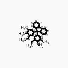 CCc1cc(C2(c3cc(C)c(N)c(CC)c3)c3ccccc3-c3ccccc32)cc(C)c1N